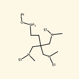 CCN(C)CC(CC[SiH2]OC(C)C)(CN(C)CC)CN(C)CC